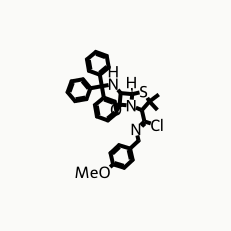 COc1ccc(CN=C(Cl)C2N3C(=O)C(NC(c4ccccc4)(c4ccccc4)c4ccccc4)[C@H]3SC2(C)C)cc1